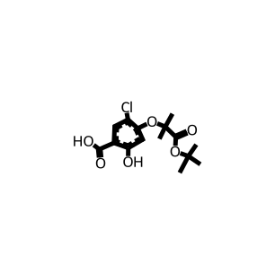 CC(C)(C)OC(=O)C(C)(C)Oc1cc(O)c(C(=O)O)cc1Cl